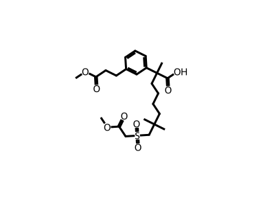 COC(=O)CCc1cccc(C(C)(CCCCC(C)(C)CS(=O)(=O)CC(=O)OC)C(=O)O)c1